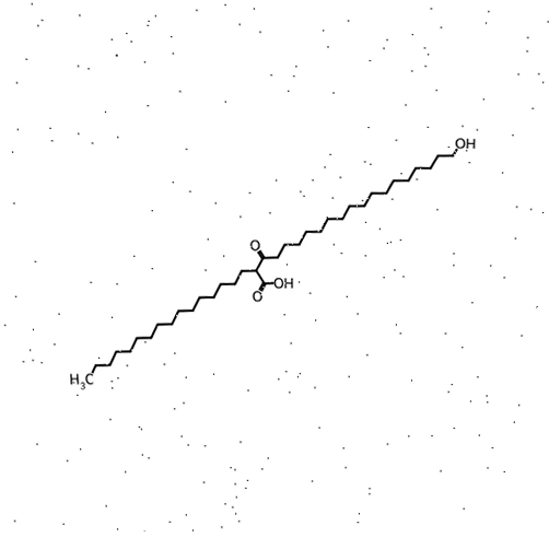 CCCCCCCCCCCCCCCCC(C(=O)O)C(=O)CCCCCCCCCCCCCCCCCO